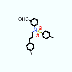 Cc1ccc(C=CCN(c2cccc(C=O)c2)S(=O)(=O)c2ccc(C)cc2)cc1